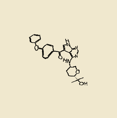 CC(C)(O)[C@@H]1CC[C@@H](Nc2ncnc3[nH]cc(C(=O)c4ccc(Oc5ccccc5)cc4)c23)CO1